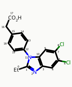 CCc1nc2cc(Cl)c(Cl)cc2n1-c1ccc(CC(=O)O)cc1